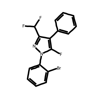 Fc1c(-c2ccccc2)c(C(F)F)nn1-c1ccccc1Br